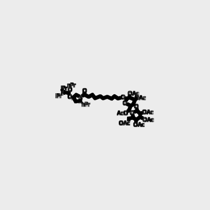 CCCOC(O[C@H]1C[C@@H](CCC)N(C(=O)CCCCCCCCCOC2OC(COC(C)=O)C(OC3OC(COC(C)=O)C(OC(C)=O)C(OC(C)=O)C3OC(C)=O)C(OC(C)=O)C2OC(C)=O)C1)N(C(C)C)C(C)C